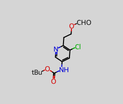 CC(C)(C)OC(=O)Nc1cnc(CCOC=O)c(Cl)c1